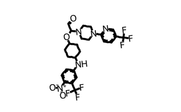 O=CC(OC1CCC(Nc2ccc([N+](=O)[O-])c(C(F)(F)F)c2)CC1)N1CCN(c2ccc(C(F)(F)F)cn2)CC1